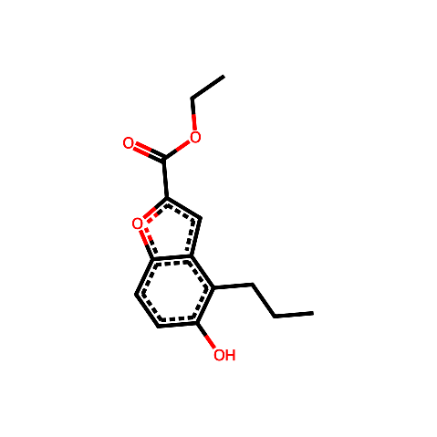 CCCc1c(O)ccc2oc(C(=O)OCC)cc12